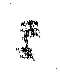 Cc1n[nH]c(Nc2ncnc3cc(OCCCN4CCN(C(=O)c5cnc(N6CCN(C[C@H]7CN(C(=O)OC(C)(C)C)[C@@H](C)CN7CC(=O)N7CC(C)(C)c8ncc(Cc9ccc(F)cc9)cc87)[C@H](C)C6)nc5)CC4)c(S(=O)(=O)C(C)(C)C)cc23)c1C